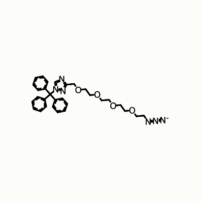 [N-]=[N+]=NCCOCCOCCOCCOCc1ncn(C(c2ccccc2)(c2ccccc2)c2ccccc2)n1